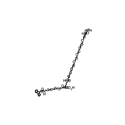 CC(C)(C)OC(=O)NCCOCCOCCOCCOCCOCCOCCOCCOCCOCCOCCOCCOCCC(=O)NCCCC[C@H](NC(=O)CCOCCOCCOCCOCCNC(=O)OCC1c2ccccc2-c2ccccc21)C(=O)O